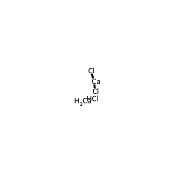 Cl.[CaH2].[Cl][Ca][Cl]